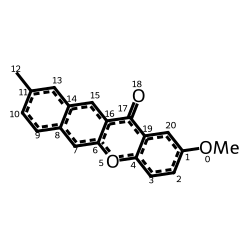 COc1ccc2oc3cc4ccc(C)cc4cc3c(=O)c2c1